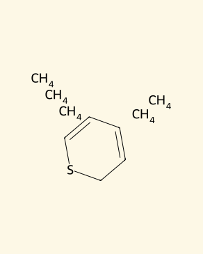 C.C.C.C.C.C1=CCSC=C1